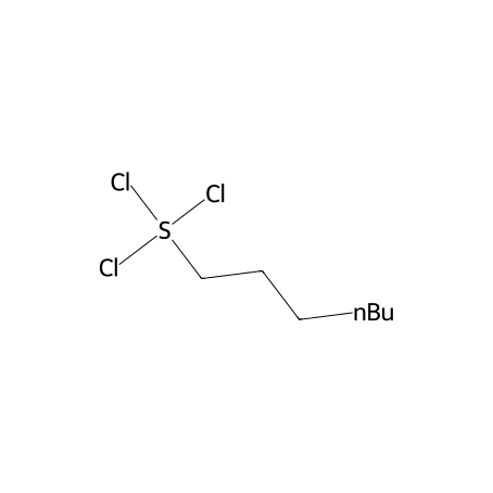 CCCCCCCS(Cl)(Cl)Cl